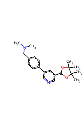 CN(C)Cc1ccc(-c2cncc(B3OC(C)(C)C(C)(C)O3)c2)cc1